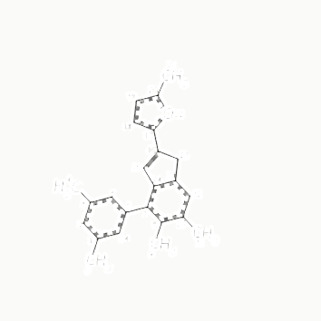 Cc1cc(C)cc(-c2c(C)c(C)cc3c2C=C(c2ccc(C)o2)C3)c1